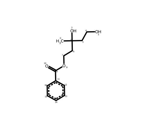 CC(O)(CCO)CCOC(=O)c1ccccc1